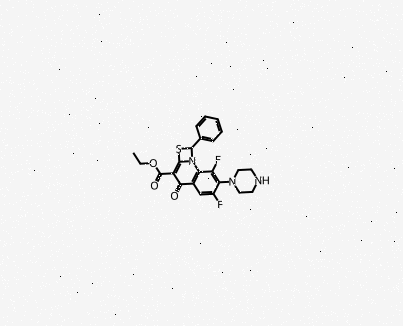 CCOC(=O)c1c2n(c3c(F)c(N4CCNCC4)c(F)cc3c1=O)C(c1ccccc1)S2